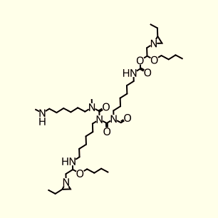 CCCCOC(CN1CC1CC)NCCCCCCN(C(=O)N(C)CCCCCCNC)C(=O)N(C=O)CCCCCCNC(=O)OC(CN1CC1CC)OCCCC